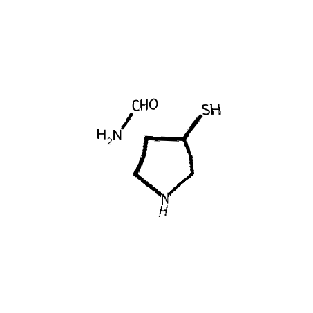 NC=O.SC1CCNC1